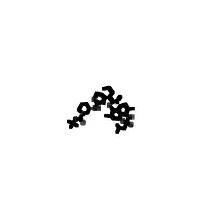 C=N/C(Oc1c(C)ccc2c(NS(=O)(=O)CC(C)C)c(C)ccc12)=C(\C=C/C)c1ccnc(N[C@H]2CCCN(C(=O)OC(C)(C)C)C2)n1